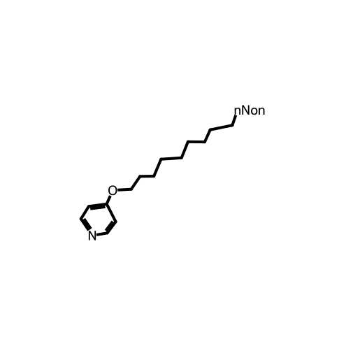 CCCCCCCCCCCCCCCCCCOc1ccncc1